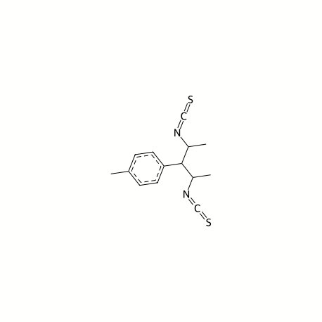 Cc1ccc(C(C(C)N=C=S)C(C)N=C=S)cc1